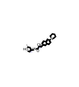 C/C=C(/CNC(=O)/C(C#N)=C/c1ccc2cc(N3CCCCC3)ccc2c1)C[C@@H](C)O